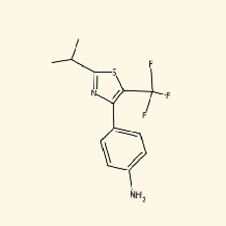 CC(C)c1nc(-c2ccc(N)cc2)c(C(F)(F)F)s1